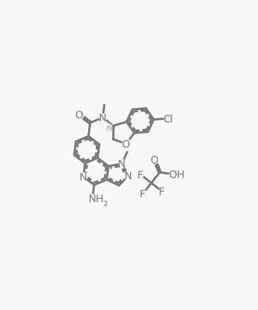 CN(C(=O)c1ccc2nc(N)c3cnn(C)c3c2c1)[C@@H]1COc2cc(Cl)ccc21.O=C(O)C(F)(F)F